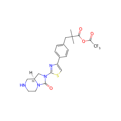 CC(C)(Cc1ccc(-c2csc(N3C[C@@H]4CNCCN4C3=O)n2)cc1)C(=O)OC(=O)C(F)(F)F